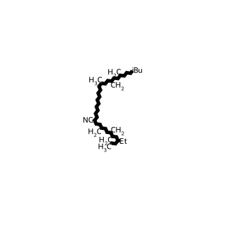 C=C(C)CC(CC)CCC(=C)CCC(=C)CC[C@H](C#N)CCCCCCCCCCC(C)CCC(=C)CCC(=C)CCCC(C)CC